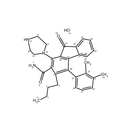 CCCCc1c(C(N)=O)c(N2CCNCC2)c2c(c1-c1cccc(C)c1C)-c1ccccc1C2=O.Cl